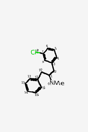 CNC([CH]c1cccc(Cl)c1)Cc1ccccc1